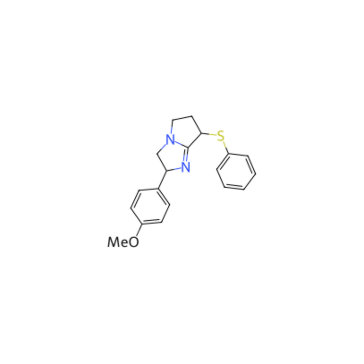 COc1ccc(C2CN3CCC(Sc4ccccc4)C3=N2)cc1